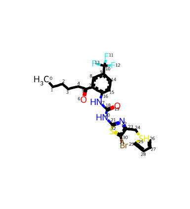 CCCCCC(=O)c1cc(C(F)(F)F)ccc1NC(=O)Nc1nc(C[SH]2C=CC=C2)c(Br)s1